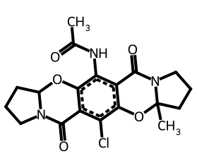 CC(=O)Nc1c2c(c(Cl)c3c1C(=O)N1CCCC1(C)O3)C(=O)N1CCCC1O2